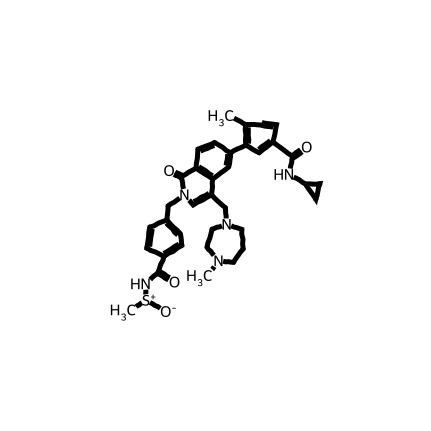 Cc1ccc(C(=O)NC2CC2)cc1-c1ccc2c(=O)n(Cc3ccc(C(=O)N[S+](C)[O-])cc3)cc(CN3CCCN(C)CC3)c2c1